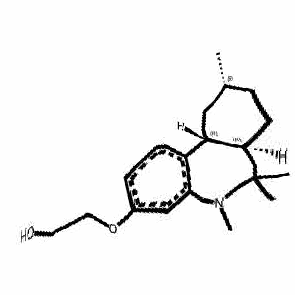 C[C@@H]1CC[C@@H]2[C@@H](C1)c1ccc(OCCO)cc1N(C)C2(C)C